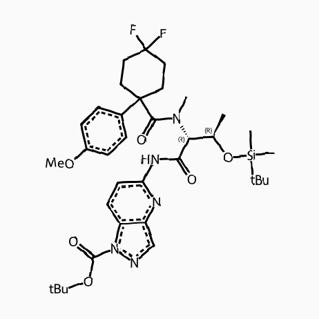 COc1ccc(C2(C(=O)N(C)[C@@H](C(=O)Nc3ccc4c(cnn4C(=O)OC(C)(C)C)n3)[C@@H](C)O[Si](C)(C)C(C)(C)C)CCC(F)(F)CC2)cc1